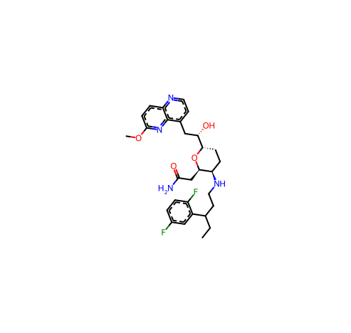 CCC(CCN[C@@H]1CC[C@@H]([C@@H](O)Cc2ccnc3ccc(OC)nc23)O[C@@H]1CC(N)=O)c1cc(F)ccc1F